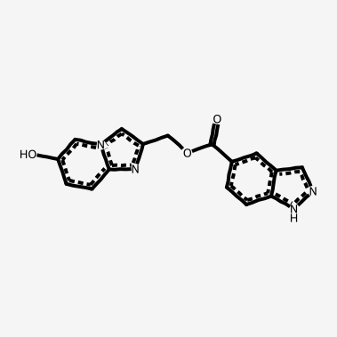 O=C(OCc1cn2cc(O)ccc2n1)c1ccc2[nH]ncc2c1